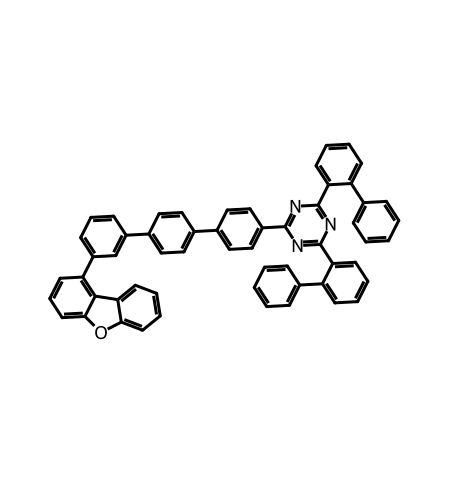 c1ccc(-c2ccccc2-c2nc(-c3ccc(-c4ccc(-c5cccc(-c6cccc7oc8ccccc8c67)c5)cc4)cc3)nc(-c3ccccc3-c3ccccc3)n2)cc1